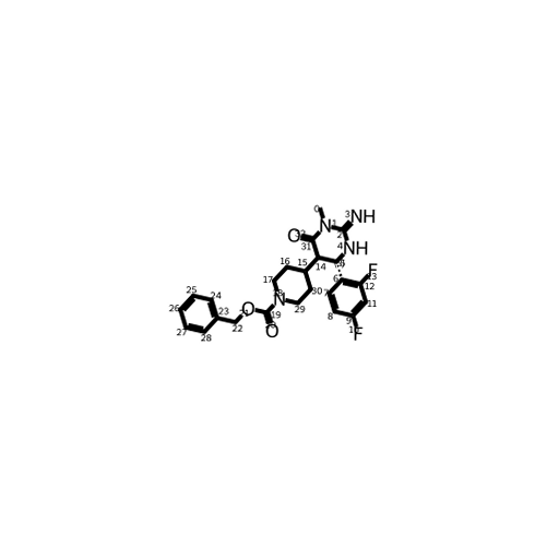 CN1C(=N)N[C@H](c2ccc(F)cc2F)C(C2CCN(C(=O)OCc3ccccc3)CC2)C1=O